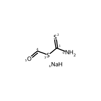 NC(=S)SC=O.[NaH]